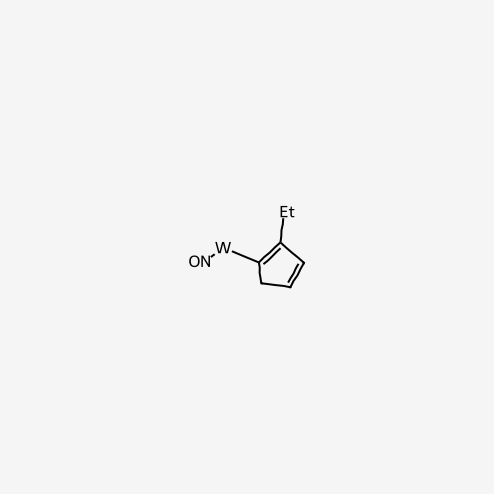 CCC1=[C]([W][N]=O)CC=C1